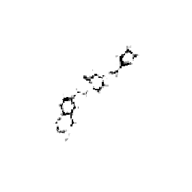 CN1CCc2ccc(CCn3ccc(OCc4cccs4)cc3=O)cc2C1